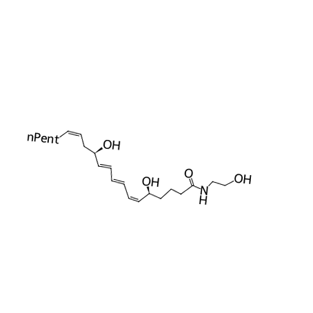 CCCCC/C=C\C[C@@H](O)/C=C/C=C/C=C\[C@@H](O)CCCC(=O)NCCO